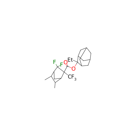 CCC1(OC(=O)C2(C(F)(F)F)C3CC(C(C)C3C)C2(F)F)C2CC3CC(C2)CC1C3